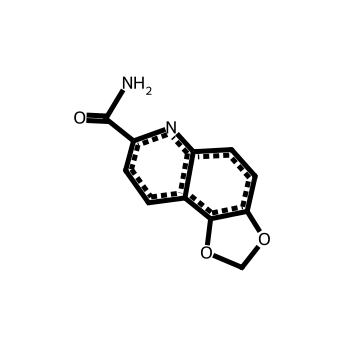 NC(=O)c1ccc2c3c(ccc2n1)OCO3